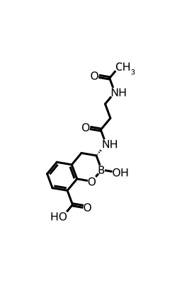 CC(=O)NCCC(=O)N[C@H]1Cc2cccc(C(=O)O)c2OB1O